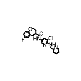 O=C(Nc1cnc(NCc2ccccn2)c(Cl)c1)C1=Cc2cc(F)ccc2OCC1